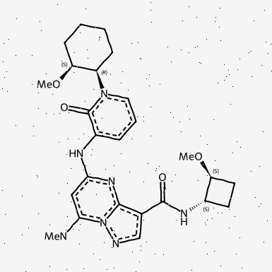 CNc1cc(Nc2cccn([C@@H]3CCCC[C@@H]3OC)c2=O)nc2c(C(=O)N[C@H]3CC[C@@H]3OC)cnn12